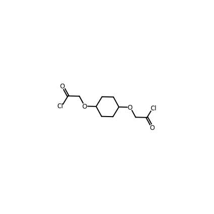 O=C(Cl)COC1CCC(OCC(=O)Cl)CC1